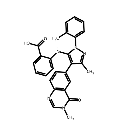 Cc1ccccc1-n1nc(C)c(-c2ccc3ncn(C)c(=O)c3c2)c1Nc1ccccc1C(=O)O